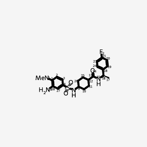 CNc1ccc(S(=O)(=O)NC2CCC(C(=O)N[C@H](C)c3ccc(F)cc3)CC2)cc1N